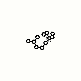 c1ccc(-c2cc(-c3ccccc3)cc(-c3cccc(-c4cccc(-c5ccc(-c6nc(-c7cccc8ccccc78)c7c(ccc8ccccc87)n6)cc5)c4)c3)c2)cc1